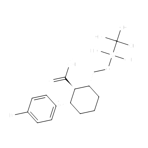 CC(C)(C)[Si](C)(C)OC[C@@H]1CCC[C@H](c2ccc(Br)cc2)[C@H]1C(=O)O